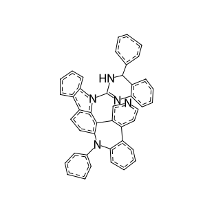 c1ccc(C2NC(n3c4ccccc4c4ccc5c(c43)-c3cnccc3-c3ccccc3N5c3ccccc3)=Nc3ccccc32)cc1